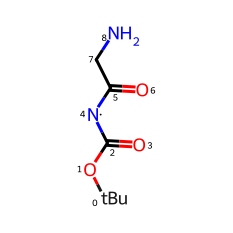 CC(C)(C)OC(=O)[N]C(=O)CN